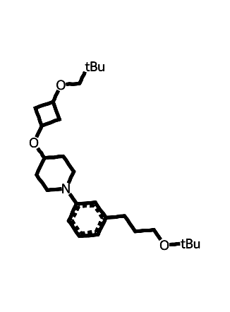 CC(C)(C)COC1CC(OC2CCN(c3cccc(CCCOC(C)(C)C)c3)CC2)C1